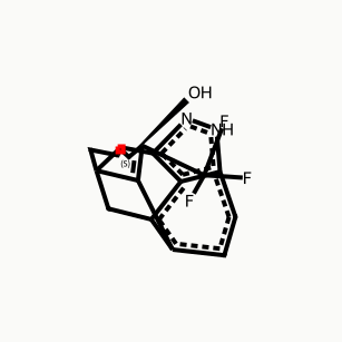 O[C@H]1CCCC23Cc4n[nH]c5ccc(c(c45)C2)C3=C1C(F)(F)F